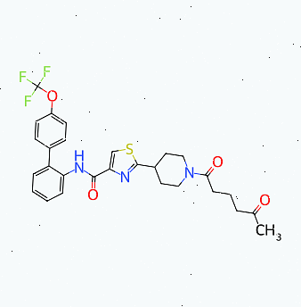 CC(=O)CCCC(=O)N1CCC(c2nc(C(=O)Nc3ccccc3-c3ccc(OC(F)(F)F)cc3)cs2)CC1